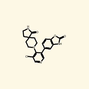 O=C1NCCC12CCN(c1c(Cl)cncc1-c1ccc3oc(=O)[nH]c3c1)CC2